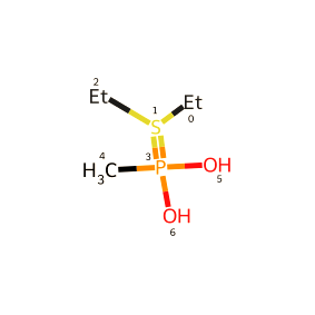 CCS(CC)=P(C)(O)O